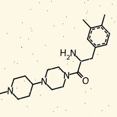 Cc1ccc(CC(N)C(=O)N2CCN(C3CCN(C)CC3)CC2)cc1C